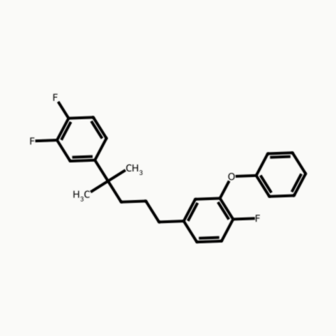 CC(C)(CCCc1ccc(F)c(Oc2ccccc2)c1)c1ccc(F)c(F)c1